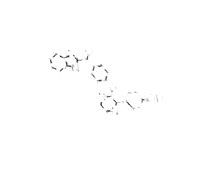 O=C(c1ccc(Oc2nccnc2C2=CC[C@@H](O)CC2)cc1)c1nc2ccccc2[nH]1